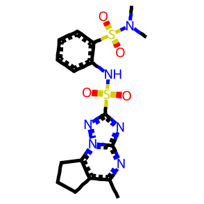 Cc1nc2nc(S(=O)(=O)Nc3ccccc3S(=O)(=O)N(C)C)nn2c2c1CCC2